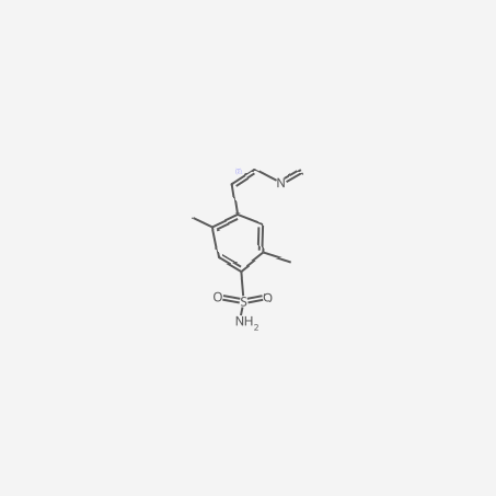 C=N/C=C\c1cc(C)c(S(N)(=O)=O)cc1C